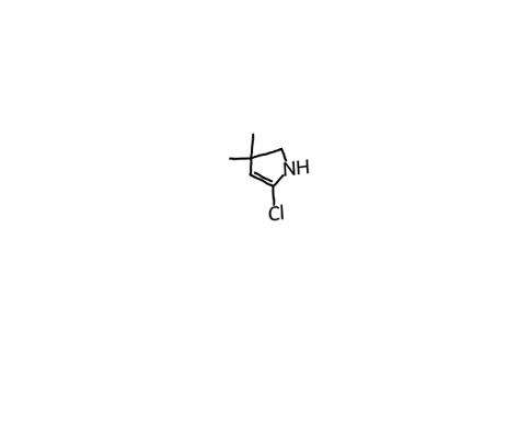 CC1(C)C=C(Cl)NC1